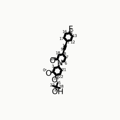 COc1cc(-n2ccc(C#Cc3ccc(F)cc3)cc2=O)ccc1OCC(C)(C)O